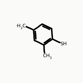 [CH2]c1ccc(S)c(C)c1